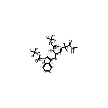 CNC(=O)C(C)(C)/C=C/C(Cc1cn(C(=O)OC(C)(C)C)c2ccccc12)NC(=O)OC(C)(C)C